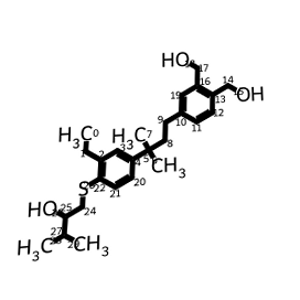 CCc1cc(C(C)(C)CCc2ccc(CO)c(CO)c2)ccc1SCC(O)C(C)C